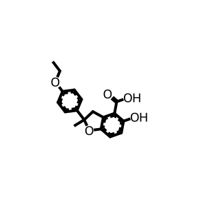 CCOc1ccc(C2(C)Cc3c(ccc(O)c3C(=O)O)O2)cc1